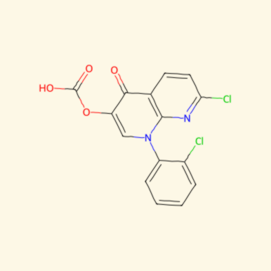 O=C(O)Oc1cn(-c2ccccc2Cl)c2nc(Cl)ccc2c1=O